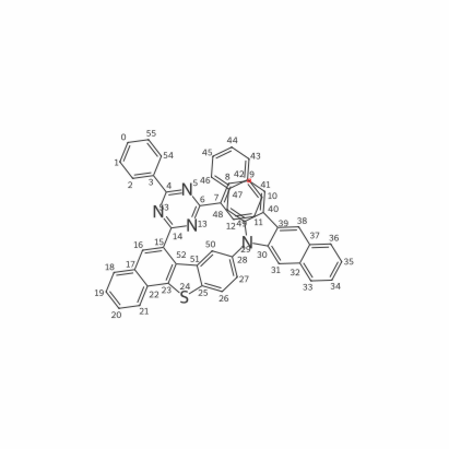 c1ccc(-c2nc(-c3ccccc3)nc(-c3cc4ccccc4c4sc5ccc(-n6c7cc8ccccc8cc7c7cc8ccccc8cc76)cc5c34)n2)cc1